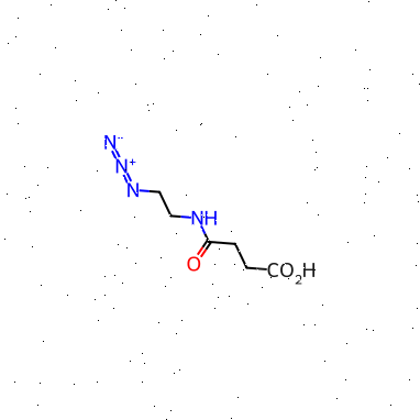 [N-]=[N+]=NCCNC(=O)CCC(=O)O